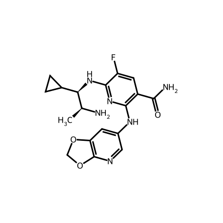 C[C@H](N)[C@H](Nc1nc(Nc2cnc3c(c2)OCO3)c(C(N)=O)cc1F)C1CC1